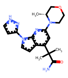 C[C@@H]1COCCN1c1cc(C(C)(C)C(N)=O)c2ccn(-c3cc[nH]n3)c2n1